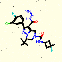 CC1(F)CC(NC(=O)N2Cc3c(C(=O)NN=N)c(-c4ccc(F)c(Cl)c4)nn3C(C(C)(C)C)C2)C1